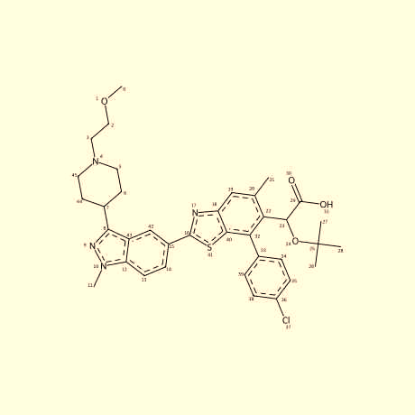 COCCN1CCC(c2nn(C)c3ccc(-c4nc5cc(C)c(C(OC(C)(C)C)C(=O)O)c(-c6ccc(Cl)cc6)c5s4)cc23)CC1